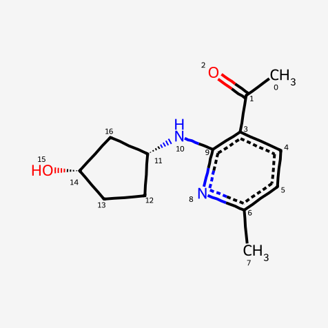 CC(=O)c1ccc(C)nc1N[C@@H]1CC[C@H](O)C1